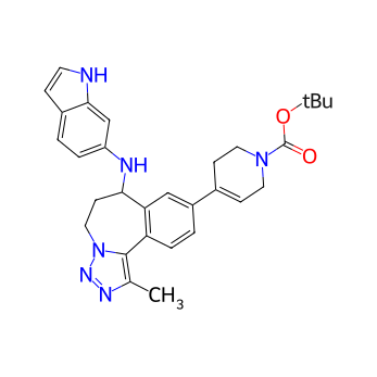 Cc1nnn2c1-c1ccc(C3=CCN(C(=O)OC(C)(C)C)CC3)cc1C(Nc1ccc3cc[nH]c3c1)CC2